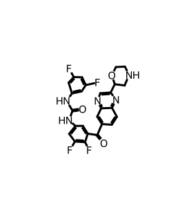 O=C(Nc1cc(F)cc(F)c1)Nc1cc(F)c(F)c(C(=O)c2ccc3nc(C4CNCCO4)cnc3c2)c1